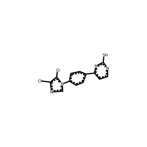 Sc1nccc(-c2ccc(-n3cnc(Cl)c3Cl)cc2)n1